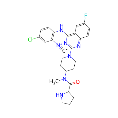 [C-]#[N+]c1cc(Cl)ccc1Nc1nc(N2CCC(N(C)C(=O)C3CCCN3)CC2)nc2ccc(F)cc12